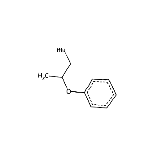 C[C](CC(C)(C)C)Oc1ccccc1